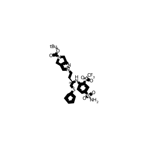 CC(C)(C)OC(=O)N1Cc2cn(CC[C@H](CSc3ccccc3)Nc3ccc(S(N)(=O)=O)cc3S(=O)(=O)C(F)(F)F)nc2C1